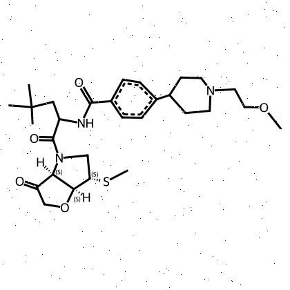 COCCN1CCC(c2ccc(C(=O)NC(CC(C)(C)C)C(=O)N3C[C@H](SC)[C@H]4OCC(=O)[C@H]43)cc2)CC1